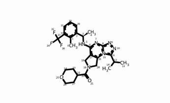 Cc1c([C@@H](C)Nc2nc3nnc(C(C)C)n3c3c2CN(C(=O)C2CCOCC2)C3)cccc1C(F)(F)F